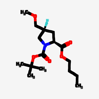 CCCCOC(=O)[C@@H]1C[C@](F)(COC)CN1C(=O)OC(C)(C)C